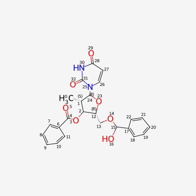 C[C@H]1C(OC(=O)c2ccccc2)[C@@H](COC(O)c2ccccc2)O[C@H]1n1ccc(=O)[nH]c1=O